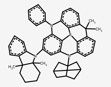 CC1(C)c2cccc3c2B2c4c(cc(N5c6ccccc6C6(C)CCCCC56C)cc4N(C45CC6CC4CC6C5)c4cccc1c42)N3c1ccccc1